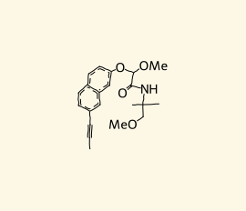 CC#Cc1ccc2ccc(OC(OC)C(=O)NC(C)(C)COC)cc2c1